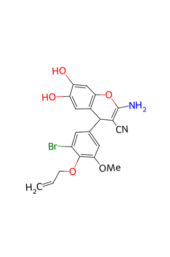 C=CCOc1c(Br)cc(C2C(C#N)=C(N)Oc3cc(O)c(O)cc32)cc1OC